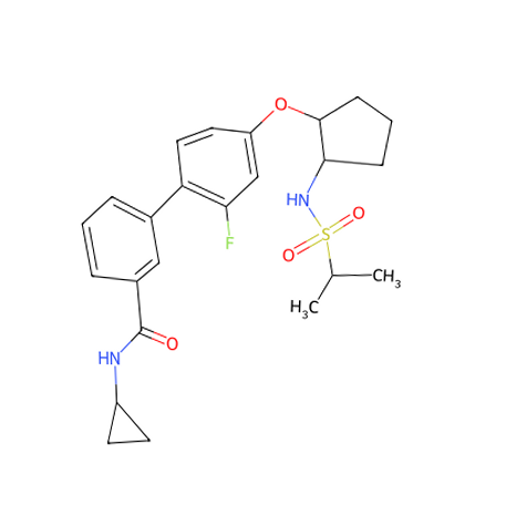 CC(C)S(=O)(=O)NC1CCCC1Oc1ccc(-c2cccc(C(=O)NC3CC3)c2)c(F)c1